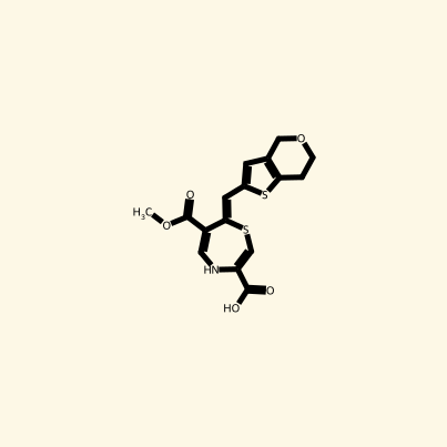 COC(=O)C1=CNC(C(=O)O)=CSC1=Cc1cc2c(s1)CCOC2